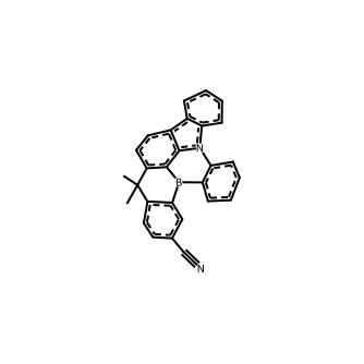 CC1(C)c2ccc(C#N)cc2B2c3ccccc3-n3c4ccccc4c4ccc1c2c43